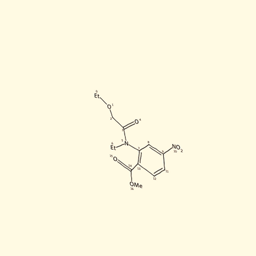 CCOCC(=O)N(CC)c1cc([N+](=O)[O-])ccc1C(=O)OC